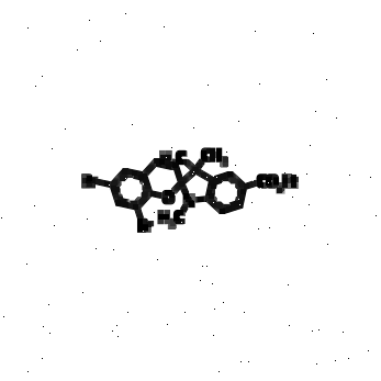 CCOC(=O)c1ccc2c(c1)C(C)(C)C1(C=Cc3cc(Br)cc(Br)c3O1)N2C